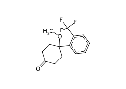 COC1(c2ccccc2C(F)(F)F)CCC(=O)CC1